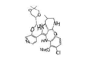 COc1c(Cl)cccc1Nc1c(-c2ccncc2OCC2COC(C)(C)CO2)[nH]c2c1C(=O)NCC2C